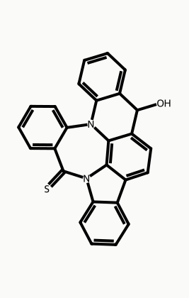 OC1c2ccccc2N2c3ccccc3C(=S)n3c4ccccc4c4ccc1c2c43